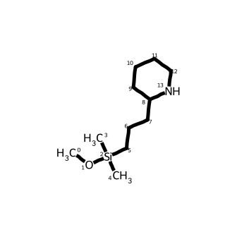 CO[Si](C)(C)CCCC1CCCCN1